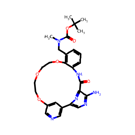 CN(Cc1cccc2c1OCCOCCOc1cncc(c1)-c1cnc(N)c(n1)C(=O)N2)C(=O)OC(C)(C)C